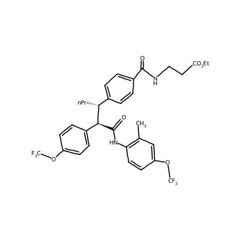 CCC[C@H](c1ccc(C(=O)NCCC(=O)OCC)cc1)[C@@H](C(=O)Nc1ccc(OC(F)(F)F)cc1C)c1ccc(OC(F)(F)F)cc1